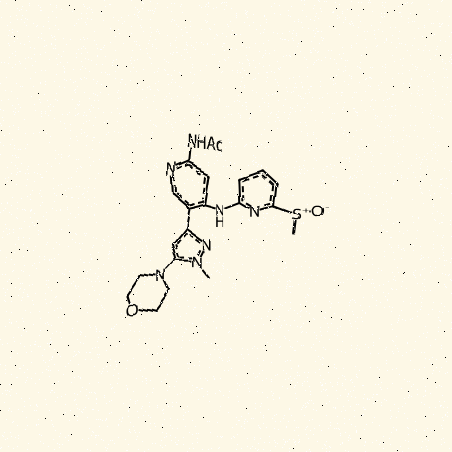 CC(=O)Nc1cc(Nc2cccc([S+](C)[O-])n2)c(-c2cc(N3CCOCC3)n(C)n2)cn1